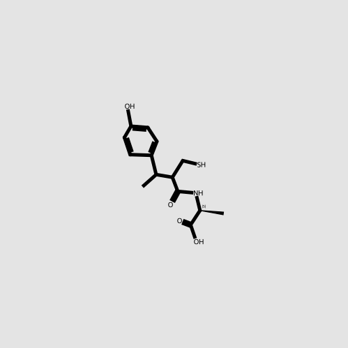 CC(c1ccc(O)cc1)C(CS)C(=O)N[C@@H](C)C(=O)O